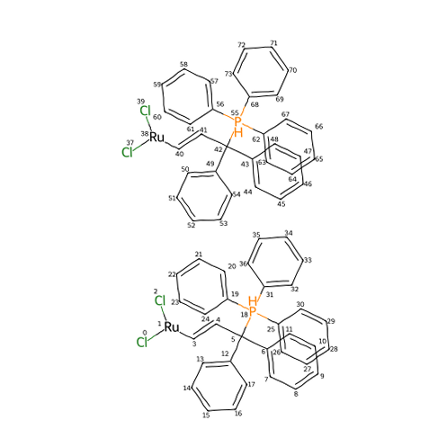 [Cl][Ru]([Cl])[CH]=CC(c1ccccc1)(c1ccccc1)[PH](c1ccccc1)(c1ccccc1)c1ccccc1.[Cl][Ru]([Cl])[CH]=CC(c1ccccc1)(c1ccccc1)[PH](c1ccccc1)(c1ccccc1)c1ccccc1